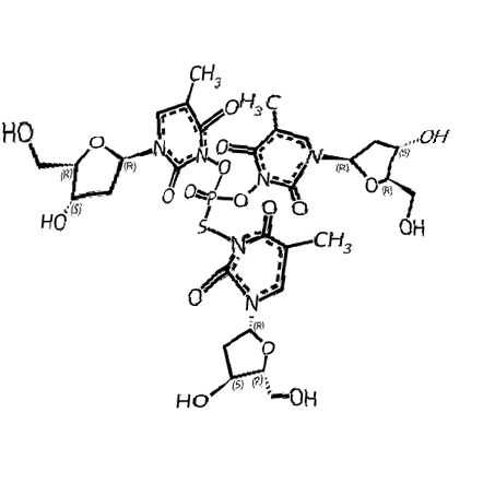 Cc1cn([C@H]2C[C@H](O)[C@@H](CO)O2)c(=O)n(OP(=O)(On2c(=O)c(C)cn([C@H]3C[C@H](O)[C@@H](CO)O3)c2=O)Sn2c(=O)c(C)cn([C@H]3C[C@H](O)[C@@H](CO)O3)c2=O)c1=O